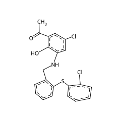 CC(=O)c1cc(Cl)cc(NCc2ccccc2Sc2ccccc2Cl)c1O